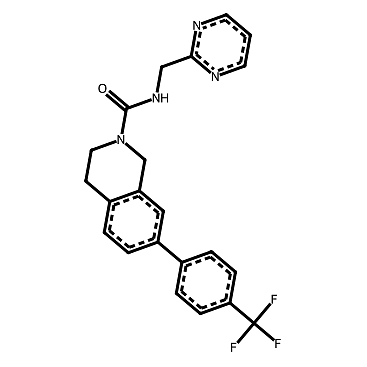 O=C(NCc1ncccn1)N1CCc2ccc(-c3ccc(C(F)(F)F)cc3)cc2C1